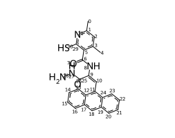 Cc1cc(C)c(C(=O)NC(=Cc2c3ccccc3cc3ccccc23)C(=O)NN)c(S)n1